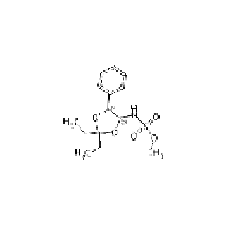 CCC1(CC)O[C@H](NS(=O)(=O)OC)[C@H](c2ccccc2)O1